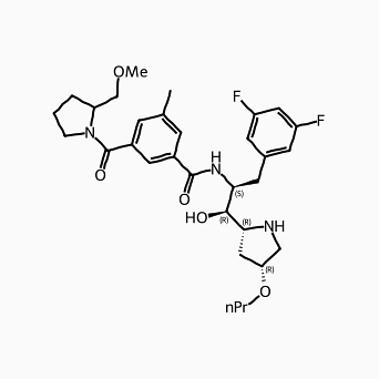 CCCO[C@H]1CN[C@@H]([C@@H](O)[C@H](Cc2cc(F)cc(F)c2)NC(=O)c2cc(C)cc(C(=O)N3CCCC3COC)c2)C1